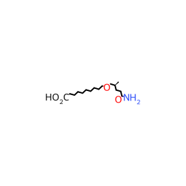 C[C@@H](CCC(N)=O)COCCCCCCCCCC(=O)O